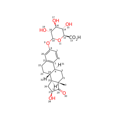 C[C@]12CC[C@@H]3c4ccc(OC5O[C@H](C(=O)O)[C@@H](O)[C@H](O)[C@H]5O)cc4CC[C@H]3[C@@H]1C[C@H](O)C2=O